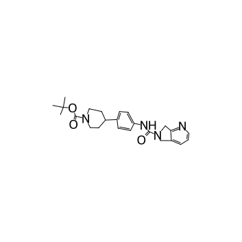 CC(C)(C)OC(=O)N1CCC(c2ccc(NC(=O)N3Cc4cccnc4C3)cc2)CC1